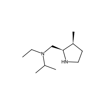 CCN(C[C@@H]1NCC[C@@H]1C)C(C)C